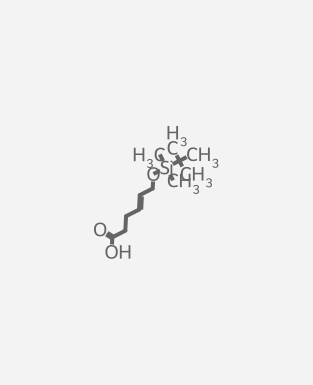 CC(C)(C)[Si](C)(C)OCC=CCCC(=O)O